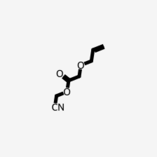 C=CCOCC(=O)OCC#N